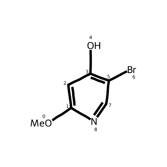 COc1cc(O)c(Br)cn1